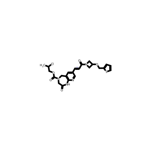 CC(Cl)COC(=O)N1CC(=O)Nc2ncc(/C=C/C(=O)N3CC(OCc4cccs4)C3)cc2C1